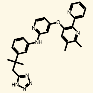 Cc1cc(Oc2ccnc(Nc3cccc(C(C)(C)Cc4nnn[nH]4)c3)c2)c(-c2ccccn2)nc1C